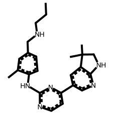 CCCNCc1ccc(Nc2nccc(-c3cnc4c(c3)C(C)(C)CN4)n2)c(C)c1